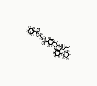 CCCC(NC(=O)Cc1ccc(C(=O)OCCOC(=O)c2cccnc2)cc1)c1ccccc1N1CCCCC1